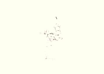 CC#CCOc1ccc(C[C@H](NC(=O)[C@@H](/C=C/CCCCCCSCCCCCCC)[C@@](O)(CCC)C(=O)OC(C)(C)C)C(=O)OC)cc1